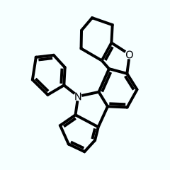 c1ccc(-n2c3ccccc3c3ccc4oc5c(c4c32)CCCC5)cc1